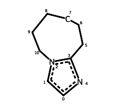 c1cn2c(n1)CCCCCC2